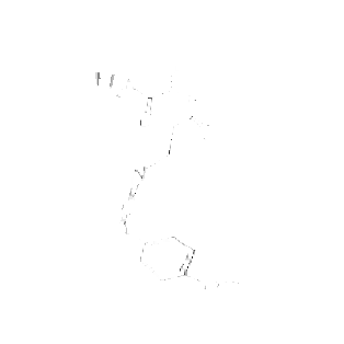 COc1ccc(N=C=NCCC(=O)N(C)C(C(N)=O)C(C)C)cc1